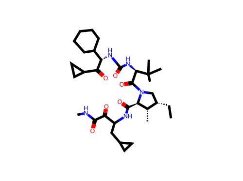 CC[C@H]1CN(C(=O)[C@@H](NC(=O)N[C@H](C(=O)C2CC2)C2CCCCC2)C(C)(C)C)[C@H](C(=O)NC(CC2CC2)C(=O)C(=O)NC)[C@H]1C